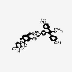 CCC(=C(c1ccc(O)cc1)c1ccc(N2CCN(Cc3cc4c(cc3Br)C(=O)N(C3CCC(=O)NC3=O)C4)CC2)cc1)c1ccc(O)cc1